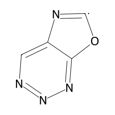 [c]1nc2cnnnc2o1